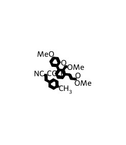 COC(=O)C=Cc1cccc(-c2ccc(OC)cc2)c1C(=O)OC.Cc1ccc(C=C(C#N)C(=O)O)cc1